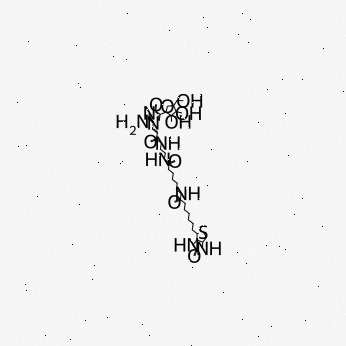 Nc1nc(=O)c(C2OC(CO)C(O)C2O)cn1/C=C/C(=O)NCCNC(=O)CCCCCNC(=O)CCCCCCC1SCC2NC(=O)NC21